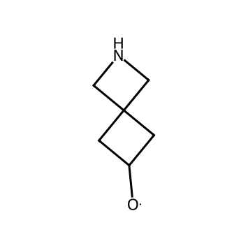 [O]C1CC2(CNC2)C1